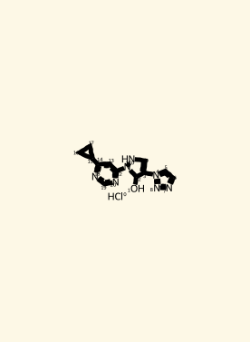 Cl.OC1C(n2ccnn2)=CNN1c1cc(C2CC2)ncn1